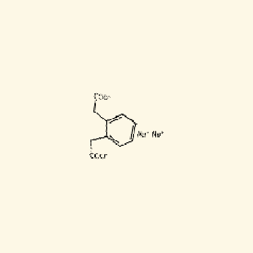 O=C([O-])Cc1ccccc1CC(=O)[O-].[Na+].[Na+]